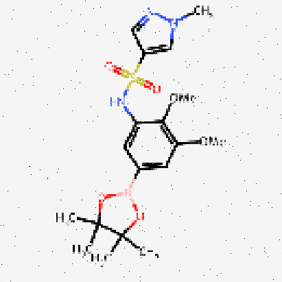 COc1cc(B2OC(C)(C)C(C)(C)O2)cc(NS(=O)(=O)c2cnn(C)c2)c1OC